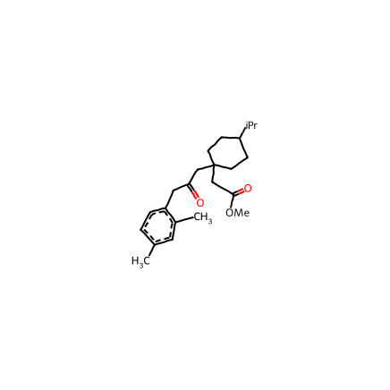 COC(=O)CC1(CC(=O)Cc2ccc(C)cc2C)CCC(C(C)C)CC1